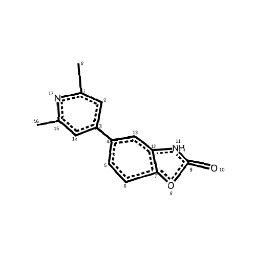 Cc1cc(-c2ccc3oc(=O)[nH]c3c2)cc(C)n1